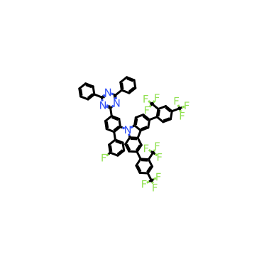 Fc1cccc(-c2ccc(-c3nc(-c4ccccc4)nc(-c4ccccc4)n3)cc2-n2c3ccc(-c4ccc(C(F)(F)F)cc4C(F)(F)F)cc3c3cc(-c4ccc(C(F)(F)F)cc4C(F)(F)F)ccc32)c1